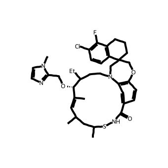 CCC1CCN2CC3(CCCc4c3ccc(Cl)c4F)COc3ccc(cc32)C(=O)NSC(C)CC(C)/C=C(\C)[C@@H]1OCc1nccn1C